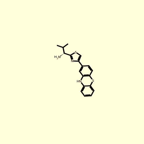 CC(C)[C@@H](N)c1nc(-c2ccc3c(c2)Nc2ccccc2S3)cs1